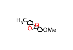 COc1ccc2c(c1)OC1c3ccc(C)cc3OCC21